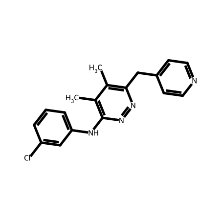 Cc1c(Cc2ccncc2)nnc(Nc2cccc(Cl)c2)c1C